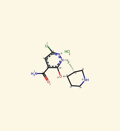 Cl.NC(=O)c1cc(Cl)nnc1O[C@H]1CCNC[C@H]1F